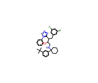 CC(C)(C)c1cccc(C2(NCC(O)C(Cc3cc(F)cc(F)c3)c3nnnn3-c3ccccc3)CCCCC2)c1